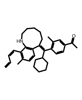 C=C/C=C\c1c(C)ccc2c1NCCCCC/C2=C(\c1ccc(C(C)=O)cc1C)C1CCCCC1